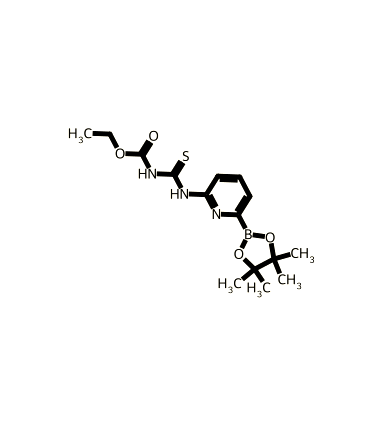 CCOC(=O)NC(=S)Nc1cccc(B2OC(C)(C)C(C)(C)O2)n1